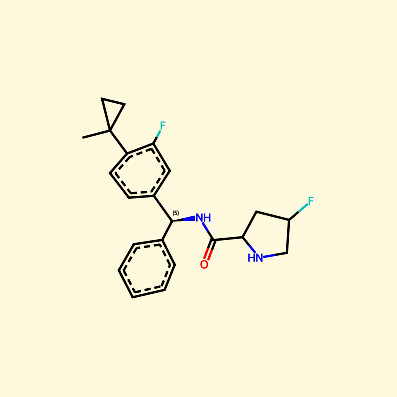 CC1(c2ccc([C@@H](NC(=O)C3CC(F)CN3)c3ccccc3)cc2F)CC1